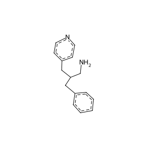 NCC(Cc1ccccc1)Cc1ccncc1